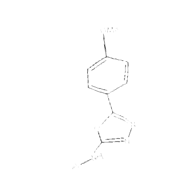 COc1ccc(-c2nnc(NC(C)C)o2)cc1